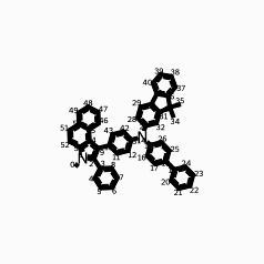 Cn1c(-c2ccccc2)c(-c2ccc(N(c3ccc(-c4ccccc4)cc3)c3ccc4c(c3)C(C)(C)c3ccccc3-4)cc2)c2c3ccccc3ccc21